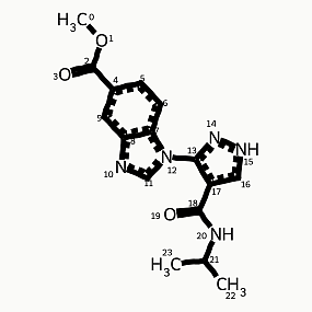 COC(=O)c1ccc2c(c1)ncn2-c1n[nH]cc1C(=O)NC(C)C